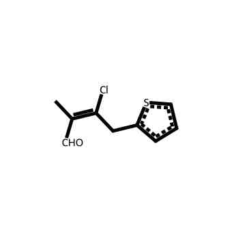 C/C(C=O)=C(\Cl)Cc1cccs1